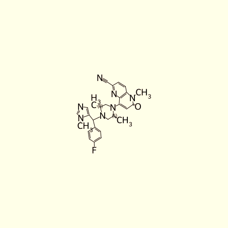 C[C@@H]1CN(c2cc(=O)n(C)c3ccc(C#N)nc23)[C@@H](C)CN1C(c1ccc(F)cc1)c1cncn1C